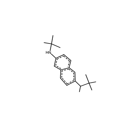 CC(c1ccc2cc(NC(C)(C)C)ccc2c1)C(C)(C)C